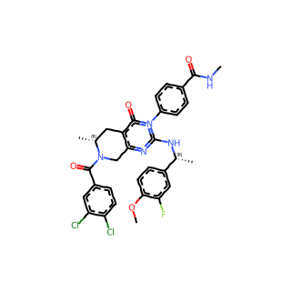 CNC(=O)c1ccc(-n2c(N[C@H](C)c3ccc(OC)c(F)c3)nc3c(c2=O)C[C@@H](C)N(C(=O)c2ccc(Cl)c(Cl)c2)C3)cc1